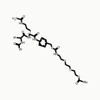 CC(C)C(=O)NC(C(=O)N[C@H](CCCNC(N)=O)C(=O)Nc1ccc(COC(=O)NCCOCCOCCOC(=O)C(C)(C)C)cc1)C(C)C